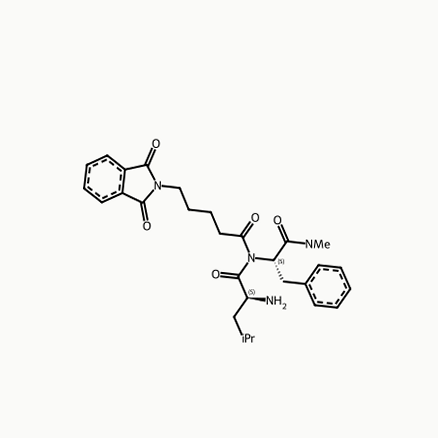 CNC(=O)[C@H](Cc1ccccc1)N(C(=O)CCCCN1C(=O)c2ccccc2C1=O)C(=O)[C@@H](N)CC(C)C